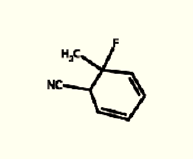 CC1(F)C=CC=CC1C#N